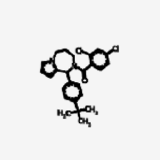 CC(C)(C)c1ccc(C2c3cccn3CCCN2C(=O)c2ccc(Cl)cc2Cl)cc1